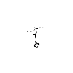 COP(=O)(CC(=O)COc1ccsc1)OC